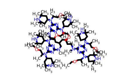 CCOCC(C)N(c1nc(N(C)CCCCC(CCCN(C)c2nc(N(C(C)COCC)C3CC(C)(C)NC(C)(C)C3)nc(N(C(C)COCC)C3CC(C)(C)NC(C)(C)C3)n2)CN(C)c2nc(N(C(C)COCC)C3CC(C)(C)NC(C)(C)C3)nc(N(C(C)COCC)C3CC(C)(C)NC(C)(C)C3)n2)nc(N(C(C)COCC)C2CC(C)(C)NC(C)(C)C2)n1)C1CC(C)(C)NC(C)(C)C1